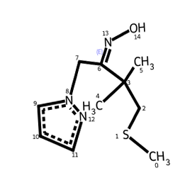 CSCC(C)(C)/C(Cn1cccn1)=N\O